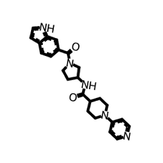 O=C(NC1CCN(C(=O)c2ccc3cc[nH]c3c2)C1)C1CCN(c2ccncc2)CC1